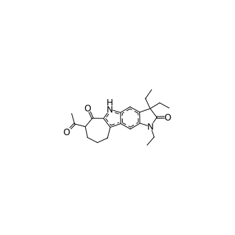 CCN1C(=O)C(CC)(CC)c2cc3[nH]c4c(c3cc21)CCCC(C(C)=O)C4=O